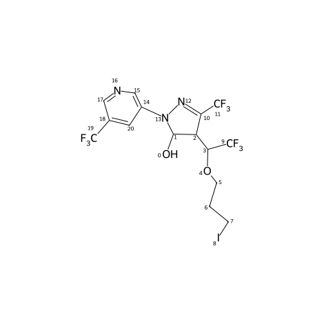 OC1C(C(OCCCI)C(F)(F)F)C(C(F)(F)F)=NN1c1cncc(C(F)(F)F)c1